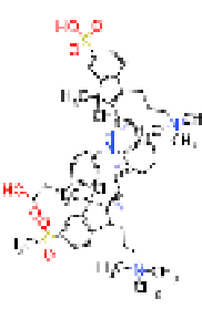 CC1(C)C(/C=C/C2=C(Nc3ccc(CCC(=O)O)cc3)C(=C/C=C3/C(CCC[N+](C)(C)C)c4ccc(S(C)(=O)=O)cc4C3(C)C)/CCC2)=C(CCC[N+](C)(C)C)c2ccc(S(=O)(=O)O)cc21